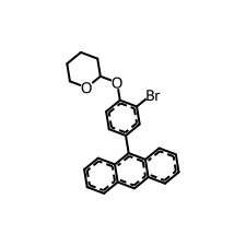 Brc1cc(-c2c3ccccc3cc3ccccc23)ccc1OC1CCCCO1